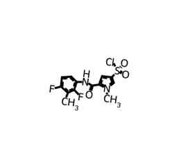 Cc1c(F)ccc(NC(=O)c2cc(S(=O)(=O)Cl)cn2C)c1F